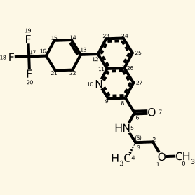 COC[C@H](C)NC(=O)c1cnc2c(C3=CCC(C(F)(F)F)CC3)cccc2c1